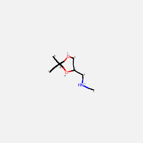 CNCC1COC(C)(C)O1